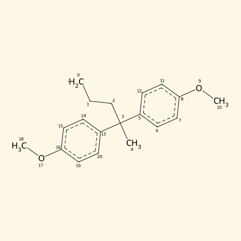 [CH2]CCC(C)(c1ccc(OC)cc1)c1ccc(OC)cc1